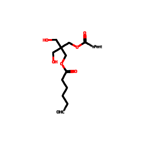 CCCCCC(=O)OCC(CO)(CO)COC(=O)CCCCC=O